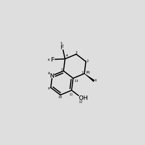 C[C@@H]1CCC(F)(F)c2nccc(O)c21